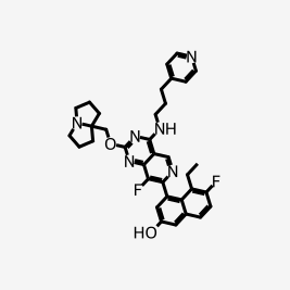 CCc1c(F)ccc2cc(O)cc(-c3ncc4c(NCCCc5ccncc5)nc(OCC56CCCN5CCC6)nc4c3F)c12